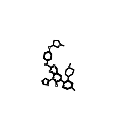 Cc1ccc(-c2cc3cnc(Nc4ccc(OC5CCN(C)C5)cc4)nc3n(C3=NC=CC3)c2=O)c(C2CCN(C)CC2)c1